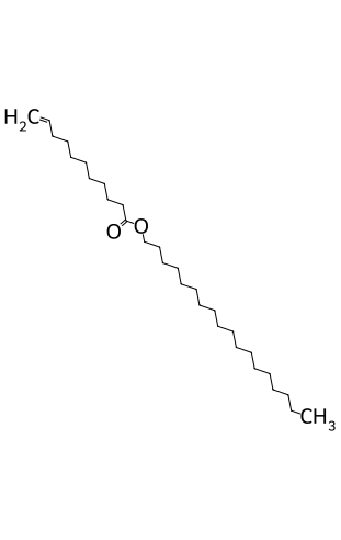 C=CCCCCCCCCC(=O)OCCCCCCCCCCCCCCCCCC